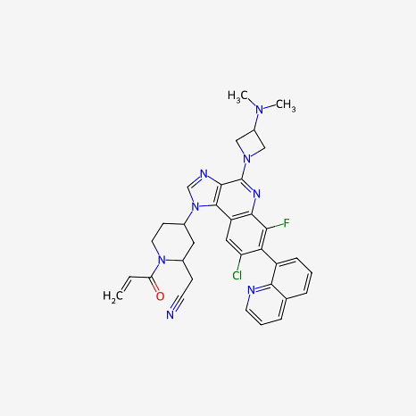 C=CC(=O)N1CCC(n2cnc3c(N4CC(N(C)C)C4)nc4c(F)c(-c5cccc6cccnc56)c(Cl)cc4c32)CC1CC#N